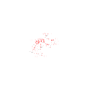 CC(O)/C=C(\O)C(O)OCC1OC(OC(CCOC2OCC(O)C(O)C2OC2OC(CO)C(O)C(O)C2=O)/C(O)=C/C(O)OC2C(COC3OCC(O)C(O)C3OC3OC(CO)C(O)C(O)C3O)OC(OC(CCO)/C(O)=C/C(O)O)C(O)C2O)C(O)C(O)C1O